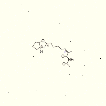 CC(=O)NC(=O)/C(C)=C\CCCC[C@@H]1C[C@H]2CCCC2O1